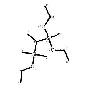 CCO[Si](C)(C)C(C)[Si](C)(OCC)OCC